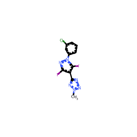 Cn1nnc(-c2c(I)nn(-c3cccc(Cl)c3)c2I)n1